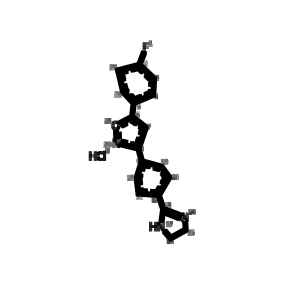 Cl.Fc1ccc(-c2cc(-c3ccc(C4=NCCN4)cc3)no2)cc1